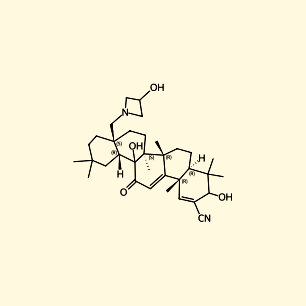 CC1(C)CC[C@]2(CN3CC(O)C3)CC[C@]3(C)C(O)(C(=O)C=C4[C@@]5(C)C=C(C#N)C(O)C(C)(C)[C@@H]5CC[C@]43C)[C@@H]2C1